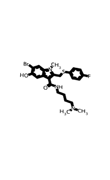 CN(C)CCCCNC(=O)c1c(CSc2ccc(F)cc2)n(C)c2cc(Br)c(O)cc12